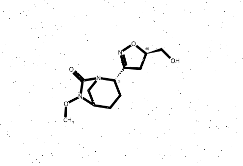 CON1C(=O)N2CC1CC[C@H]2C1=NO[C@@H](CO)C1